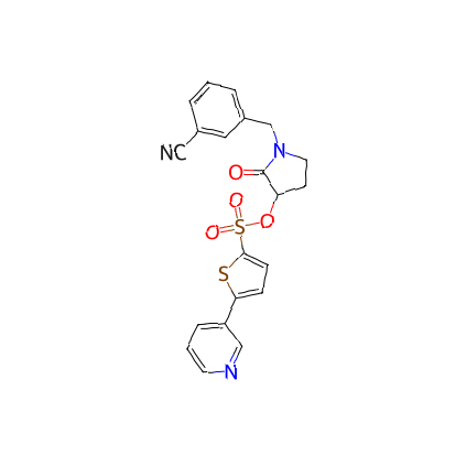 N#Cc1cccc(CN2CCC(OS(=O)(=O)c3ccc(-c4cccnc4)s3)C2=O)c1